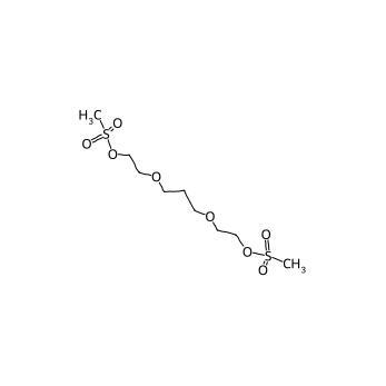 CS(=O)(=O)OCCOCCCOCCOS(C)(=O)=O